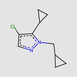 Clc1[c]nn(CC2CC2)c1C1CC1